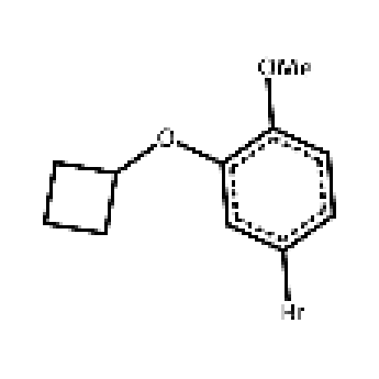 COc1ccc(Br)cc1OC1CCC1